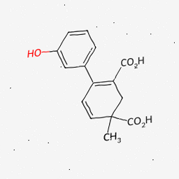 CC1(C(=O)O)C=CC(c2cccc(O)c2)=C(C(=O)O)C1